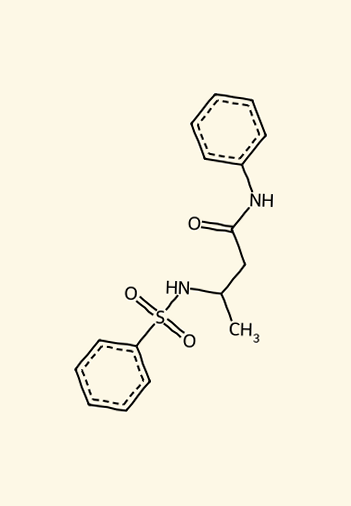 CC(CC(=O)Nc1ccccc1)NS(=O)(=O)c1ccccc1